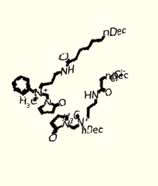 CCCCCCCCCCCC(=O)NCCC[N+](C)(CCCCCCCCCC)CN1CCCC1=O.CCCCCCCCCCCCCCCC(=O)NCCC[N+](C)(CN1CCCC1=O)c1ccccc1.[Cl-].[Cl-]